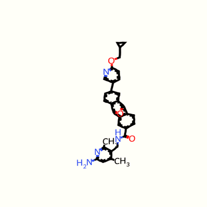 Cc1cc(N)nc(C)c1CNC(=O)c1ccc2c(c1)c1oc2c2cc(-c3ccc(OCC4CC4)nc3)ccc21